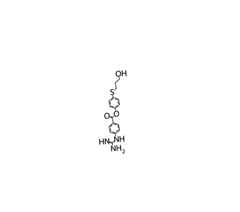 N=C(N)Nc1ccc(C(=O)Oc2ccc(SCCCO)cc2)cc1